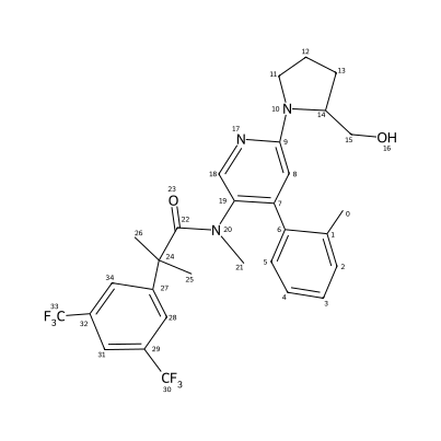 Cc1ccccc1-c1cc(N2CCCC2CO)ncc1N(C)C(=O)C(C)(C)c1cc(C(F)(F)F)cc(C(F)(F)F)c1